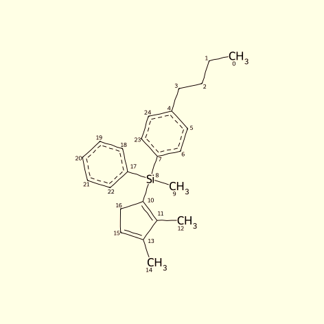 CCCCc1ccc([Si](C)(C2=C(C)C(C)=CC2)c2ccccc2)cc1